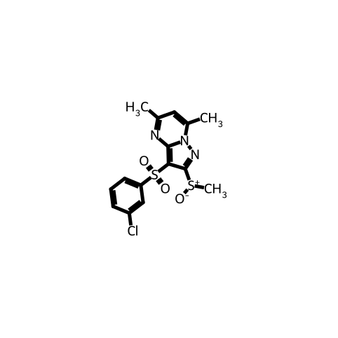 Cc1cc(C)n2nc([S+](C)[O-])c(S(=O)(=O)c3cccc(Cl)c3)c2n1